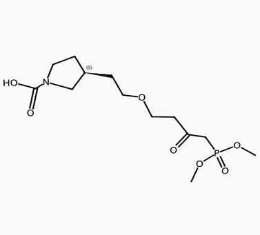 COP(=O)(CC(=O)CCOCC[C@@H]1CCN(C(=O)O)C1)OC